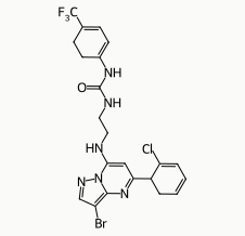 O=C(NCCNc1cc(C2CC=CC=C2Cl)nc2c(Br)cnn12)NC1=CC=C(C(F)(F)F)CC1